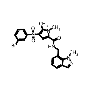 Cc1c(S(=O)(=O)c2cccc(Br)c2)cc(C(=O)NCc2cccc3cnn(C)c23)n1C